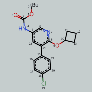 CC(C)(C)OC(=O)Nc1cnc(OC2CCC2)c(-c2ccc(Cl)cc2)c1